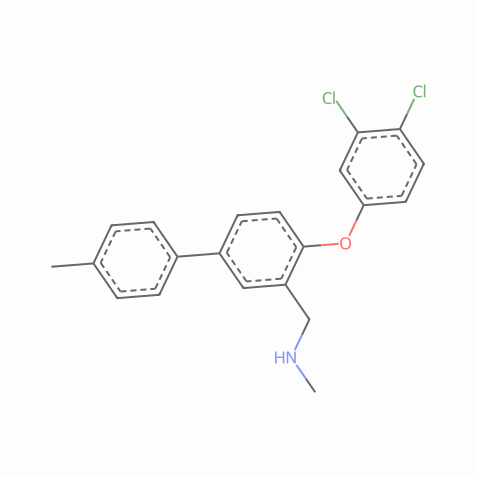 CNCc1cc(-c2ccc(C)cc2)ccc1Oc1ccc(Cl)c(Cl)c1